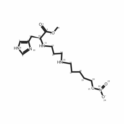 COC(=O)[C@H](Cc1c[nH]cn1)NCCCNCCCCCO[N+](=O)[O-]